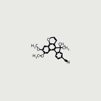 COc1cc2c3c(c4c(c2cc1OC)-c1ccc(C#N)cc1C4(C)C)C=CCO3